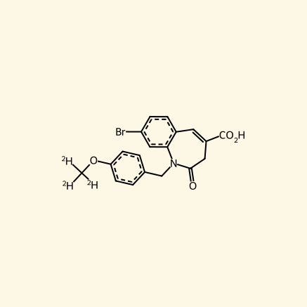 [2H]C([2H])([2H])Oc1ccc(CN2C(=O)CC(C(=O)O)=Cc3ccc(Br)cc32)cc1